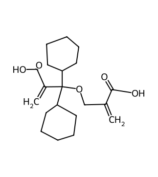 C=C(COC(C(=C)C(=O)O)(C1CCCCC1)C1CCCCC1)C(=O)O